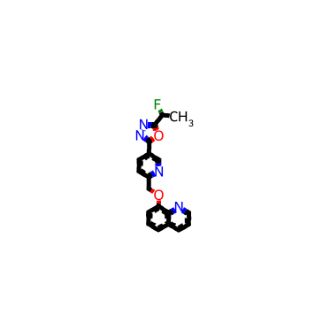 CC(F)c1nnc(-c2ccc(COc3cccc4cccnc34)nc2)o1